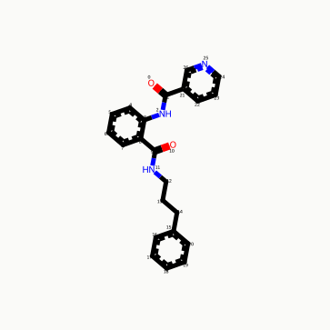 O=C(Nc1ccccc1C(=O)NCCCc1ccccc1)c1cccnc1